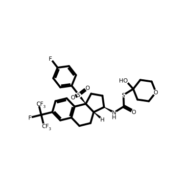 O=C(N[C@@H]1CC[C@@]2(S(=O)(=O)c3ccc(F)cc3)c3ccc(C(F)(C(F)(F)F)C(F)(F)F)cc3CC[C@@H]12)SC1(O)CCOCC1